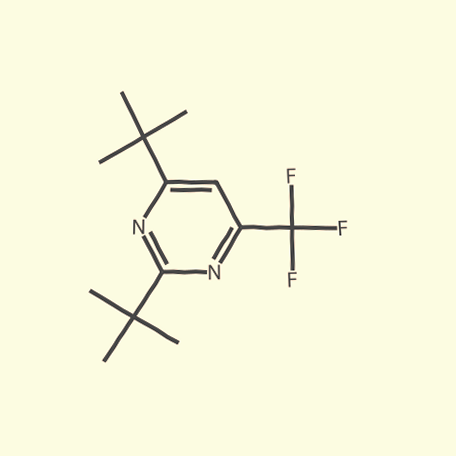 CC(C)(C)c1cc(C(F)(F)F)nc(C(C)(C)C)n1